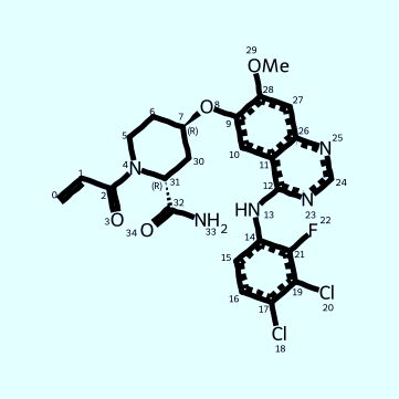 C=CC(=O)N1CC[C@@H](Oc2cc3c(Nc4ccc(Cl)c(Cl)c4F)ncnc3cc2OC)C[C@@H]1C(N)=O